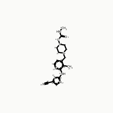 CNC(=O)ON1CCN(Cc2ccnc(Nc3ncc(C#N)s3)c2C)CC1